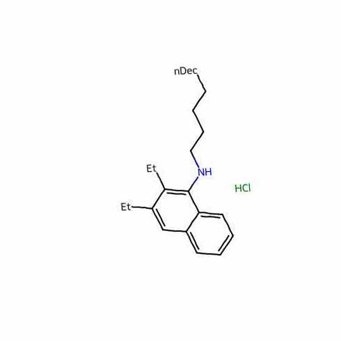 CCCCCCCCCCCCCCNc1c(CC)c(CC)cc2ccccc12.Cl